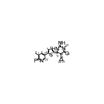 Cc1cc(-c2ccc([C@@]3(C)NC(=N)N(C)C(=O)[C@H]3C3CC3)s2)cnc1F